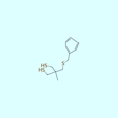 CC(CS)(CS)CSCc1ccccc1